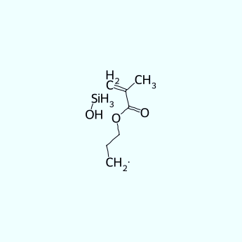 O[SiH3].[CH2]CCOC(=O)C(=C)C